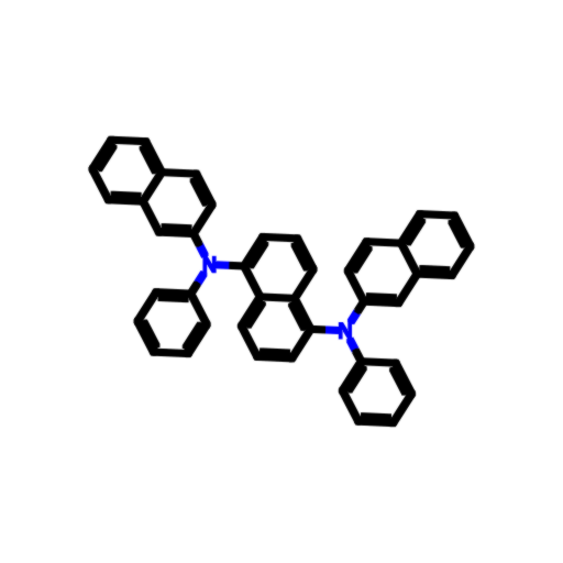 c1ccc(N(c2ccc3ccccc3c2)c2cccc3c(N(c4ccccc4)c4ccc5ccccc5c4)cccc23)cc1